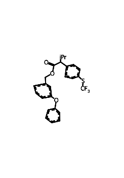 CC(C)C(C(=O)OCc1cccc(Oc2ccccc2)c1)c1ccc(SC(F)(F)F)cc1